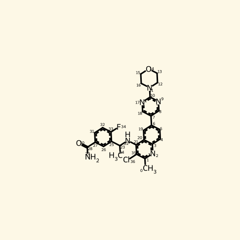 Cc1nc2ccc(-c3cnc(N4CCOCC4)nc3)cc2c(NC(C)c2cc(C(N)=O)ccc2F)c1Cl